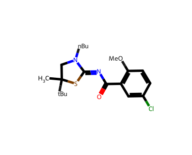 CCCCN1CC(C)(C(C)(C)C)SC1=NC(=O)c1cc(Cl)ccc1OC